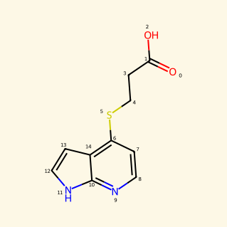 O=C(O)CCSc1ccnc2[nH]ccc12